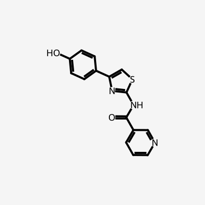 O=C(Nc1nc(-c2ccc(O)cc2)cs1)c1cccnc1